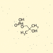 CC(C)(O)CO[PH](=O)O